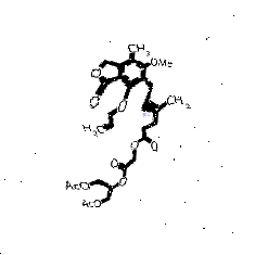 C=CCOc1c(C/C=C(\C)CCC(=O)OCC(=O)OC(COC(C)=O)COC(C)=O)c(OC)c(C)c2c1C(=O)OC2